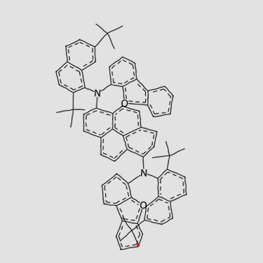 CC(C)(C)c1ccc2ccc(C(C)(C)C)c(N(c3ccc4ccc5c(N(c6c(C(C)(C)C)ccc7ccc(C(C)(C)C)cc67)c6cccc7c6oc6ccccc67)ccc6ccc3c4c65)c3cccc4c3oc3ccccc34)c2c1